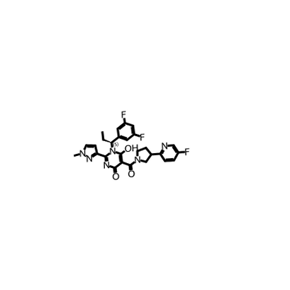 CC[C@@H](c1cc(F)cc(F)c1)n1c(-c2ccn(C)n2)nc(=O)c(C(=O)N2CCC(c3ccc(F)cn3)C2)c1O